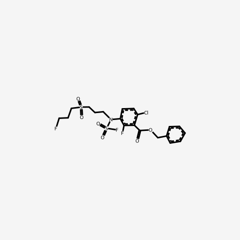 O=C(OCc1ccccc1)c1c(Cl)ccc(N(CCCS(=O)(=O)CCCF)S(=O)(=O)F)c1F